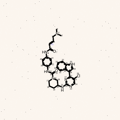 CN(C)C/C=C/C(=O)Nc1ccc(NC(=O)N2CCCC(Nc3ncc(Cl)c(-c4c[nH]c5ccccc45)n3)C2)cc1